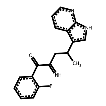 CC(CC(=N)C(=O)c1ccccc1F)c1c[nH]c2ncccc12